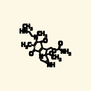 CNCCN(C)C1=C(C)C(=O)C2=C(C1=O)C(COC(N)=O)C1(OC)C3NC3CN21